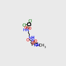 CC(C)C[C@H](NS(=O)(=O)c1cn(C)cn1)C(=O)NCCCCNS(=O)(=O)c1ccc(Cl)cc1Cl